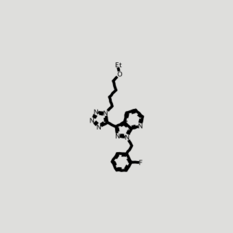 CCOCCCCn1nnnc1-c1nn(Cc2ccccc2F)c2ncccc12